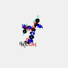 CC[C@@H]([C@H](C)O)n1ncn(-c2ccc(N3CCN(c4ccc(OCC5CO[C@@](Cn6cncn6)(c6ccc(F)cc6F)C5)cc4)CC3)cc2)c1=O.C[C@@H](c1ncncc1F)[C@](O)(Cn1cncn1)c1ccc(F)cc1F